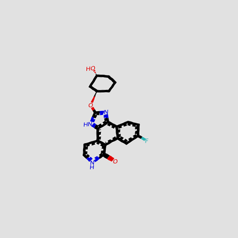 O=c1[nH]ccc2c3[nH]c(O[C@@H]4CCC[C@@H](O)C4)nc3c3ccc(F)cc3c12